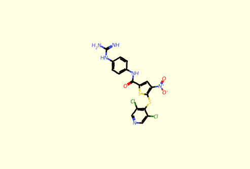 N=C(N)Nc1ccc(NC(=O)c2cc([N+](=O)[O-])c(Sc3c(Cl)cncc3Cl)s2)cc1